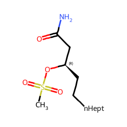 CCCCCCCCC[C@H](CC(N)=O)OS(C)(=O)=O